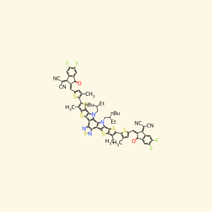 CCCCC(CC)Cn1c2c3sc(-c4sc(/C=C5\C(=O)c6cc(F)c(F)cc6C5=C(C#N)C#N)cc4C)c(C)c3sc2c2c3nsnc3c3c4sc5c(C)c(-c6sc(/C=C7\C(=O)c8cc(F)c(F)cc8C7=C(C#N)C#N)cc6C)sc5c4n(CC(CC)CCCC)c3c21